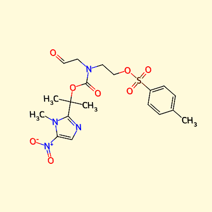 Cc1ccc(S(=O)(=O)OCCN(CC=O)C(=O)OC(C)(C)c2ncc([N+](=O)[O-])n2C)cc1